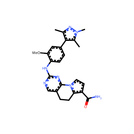 COc1cc(-c2c(C)nn(C)c2C)ccc1Nc1ncc2c(n1)-n1ccc(C(N)=O)c1CC2